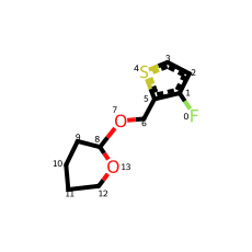 Fc1ccsc1COC1CCCCO1